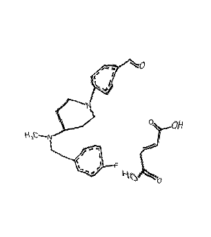 CN(Cc1ccc(F)cc1)C1CCN(c2ccc(C=O)cc2)CC1.O=C(O)/C=C/C(=O)O